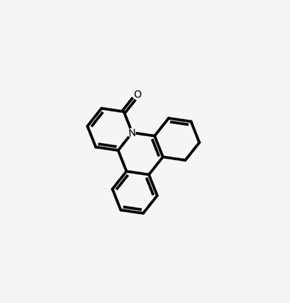 O=c1cccc2c3ccccc3c3c(n12)C=CCC3